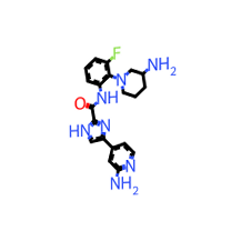 Nc1cc(-c2c[nH]c(C(=O)Nc3cccc(F)c3N3CCCC(N)C3)n2)ccn1